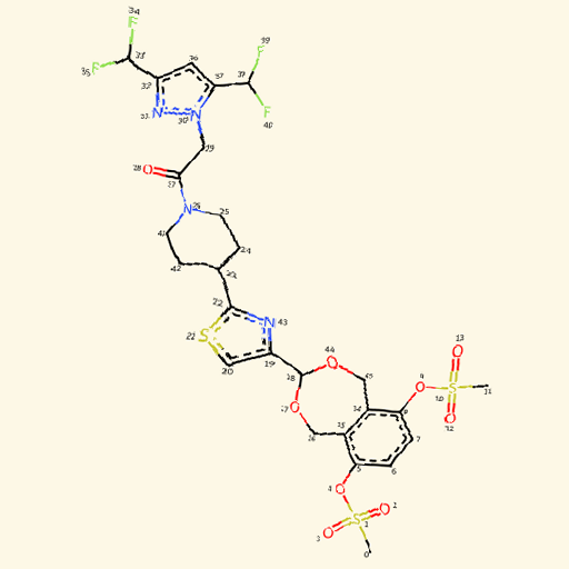 CS(=O)(=O)Oc1ccc(OS(C)(=O)=O)c2c1COC(c1csc(C3CCN(C(=O)Cn4nc(C(F)F)cc4C(F)F)CC3)n1)OC2